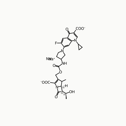 CC1C(COC(=O)NC2CCN(c3cc4c(cc3F)c(=O)c(C(=O)[O-])cn4C3CC3)C2)=C(C(=O)[O-])N2C(=O)[C@H]([C@H](C)O)[C@H]12.[Na+].[Na+]